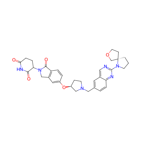 O=C1CCC(N2Cc3cc(O[C@H]4CCN(Cc5ccc6nc(N7CCC[C@]78CCOC8)ncc6c5)C4)ccc3C2=O)C(=O)N1